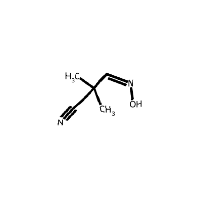 CC(C)(C#N)/C=N\O